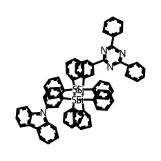 c1ccc(-c2nc(-c3ccccc3)nc(-c3cccc([Si]4(c5ccccc5)[Si](c5ccccc5)(c5ccccc5)[Si](c5ccccc5)(c5cccc(-n6c7ccccc7c7ccccc76)c5)[Si]4(c4ccccc4)c4ccccc4)c3)n2)cc1